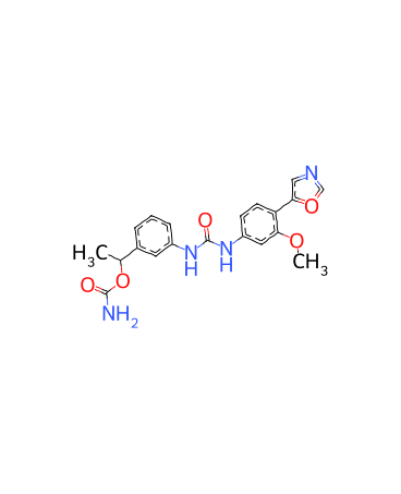 COc1cc(NC(=O)Nc2cccc(C(C)OC(N)=O)c2)ccc1-c1cnco1